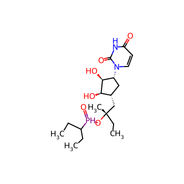 CCC(CC)[PH](=O)O[C@@](C)(CC)C[C@H]1C[C@@H](n2ccc(=O)[nH]c2=O)[C@H](O)[C@@H]1O